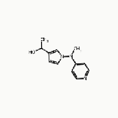 CC(O)c1ccn(N(C)c2ccncc2)c1